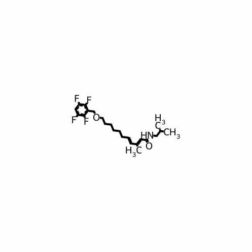 CC(C=CCCCCCCOCc1c(F)c(F)cc(F)c1F)=CC(=O)NCC(C)C